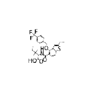 CCC1=CC2C(OCc3ccc(C(F)(F)F)cc3)=C(C(=O)NC(C(=O)O)C(C)(C)CC)C=CC2S1